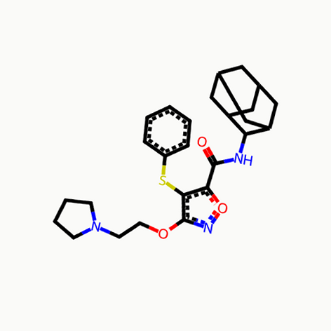 O=C(NC1C2CC3CC(C2)CC1C3)c1onc(OCCN2CCCC2)c1Sc1ccccc1